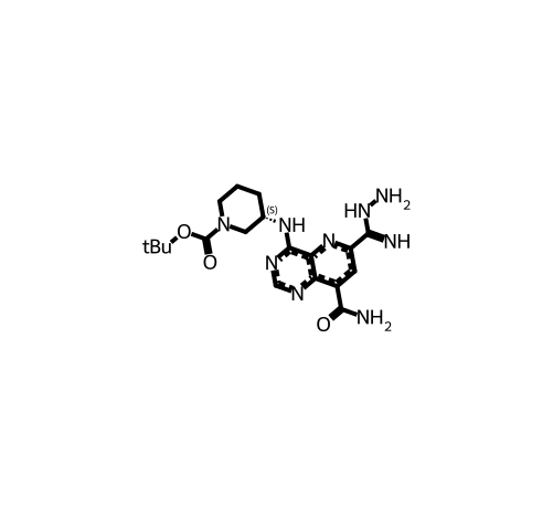 CC(C)(C)OC(=O)N1CCC[C@H](Nc2ncnc3c(C(N)=O)cc(C(=N)NN)nc23)C1